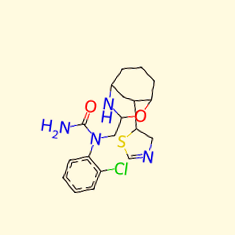 NC(=O)N(CC1NC2CCCC(O1)C(C1CN=CS1)C2)c1ccccc1Cl